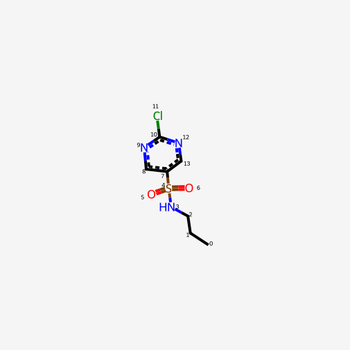 CCCNS(=O)(=O)c1cnc(Cl)nc1